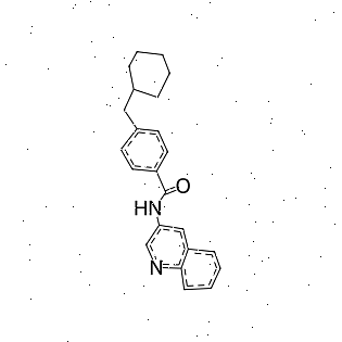 O=C(Nc1cnc2ccccc2c1)c1ccc(CC2CCCCC2)cc1